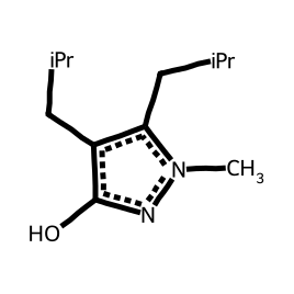 CC(C)Cc1c(O)nn(C)c1CC(C)C